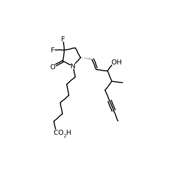 CC#CCC(C)C(O)C=C[C@H]1CC(F)(F)C(=O)N1CCCCCCC(=O)O